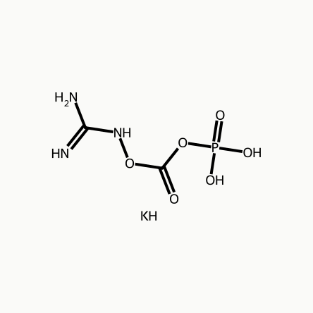 N=C(N)NOC(=O)OP(=O)(O)O.[KH]